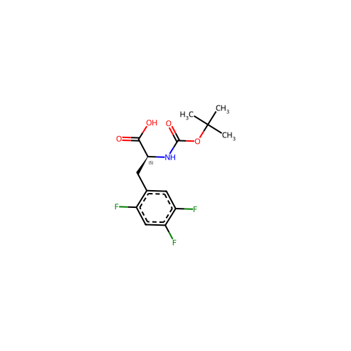 CC(C)(C)OC(=O)N[C@@H](Cc1cc(F)c(F)cc1F)C(=O)O